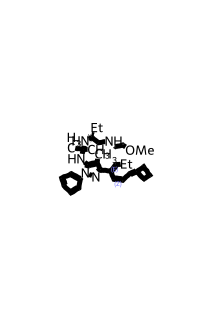 CC/C=C(\C=C/C=C1CCC1)c1nn(-c2ccccc2)c(NC(C)(C)N[C@@H](CC)CNCCOC)c1C